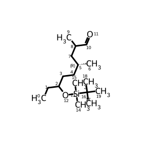 CCC(CC[C@@H](C)CC(C)C=O)O[Si](C)(C)C(C)(C)C